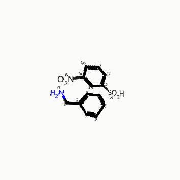 NCc1ccccc1.O=[N+]([O-])c1cccc(S(=O)(=O)O)c1